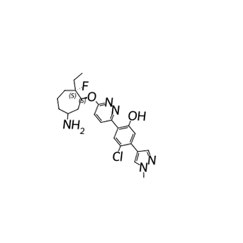 CC[C@]1(F)CCCC(N)C[C@@H]1Oc1ccc(-c2cc(Cl)c(-c3cnn(C)c3)cc2O)nn1